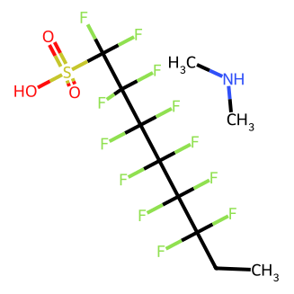 CCC(F)(F)C(F)(F)C(F)(F)C(F)(F)C(F)(F)C(F)(F)S(=O)(=O)O.CNC